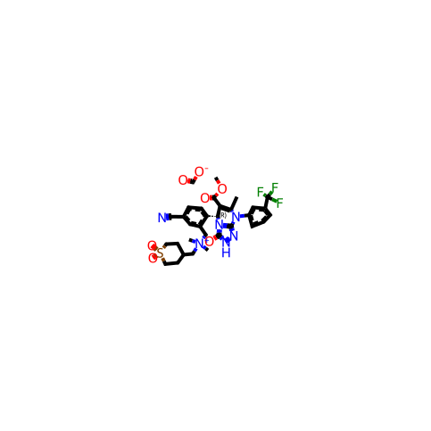 COC(=O)C1=C(C)N(c2cccc(C(F)(F)F)c2)c2n[nH]c(=O)n2[C@@H]1c1ccc(C#N)cc1C[N+](C)(C)CC1CCS(=O)(=O)CC1.O=C[O-]